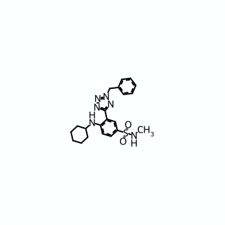 CNS(=O)(=O)c1ccc(NC2CCCCC2)c(-c2nnn(Cc3ccccc3)n2)c1